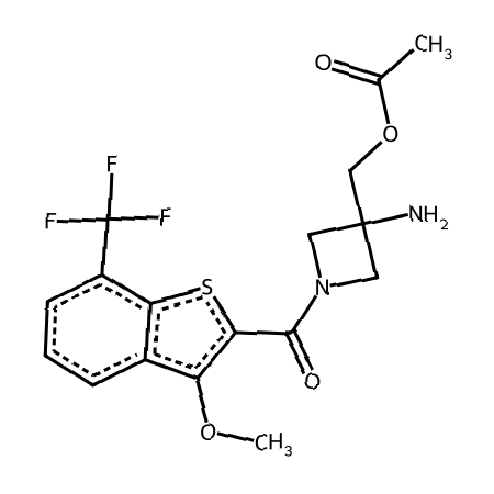 COc1c(C(=O)N2CC(N)(COC(C)=O)C2)sc2c(C(F)(F)F)cccc12